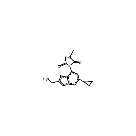 CN1CC(=O)N(c2cc(C3CC3)cn3cc(CN)nc23)C1=O